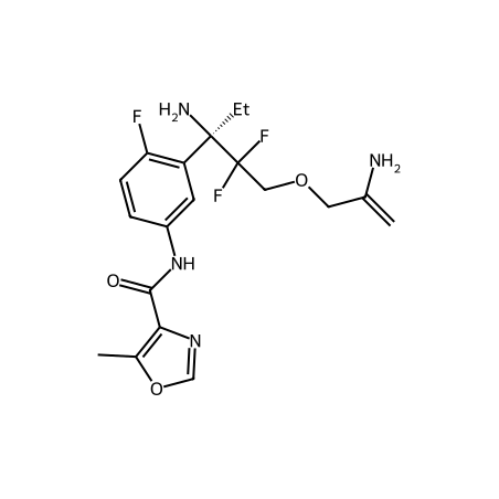 C=C(N)COCC(F)(F)[C@@](N)(CC)c1cc(NC(=O)c2ncoc2C)ccc1F